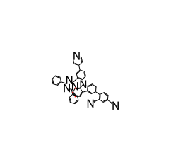 N#Cc1ccc(-c2ccc3c(c2)c2ccccc2n3-c2ccc(-c3ccncc3)cc2-c2nc(-c3ccccc3)nc(-c3ccccc3)n2)c(C#N)c1